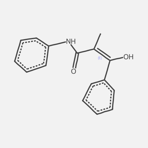 C/C(C(=O)Nc1ccccc1)=C(\O)c1ccccc1